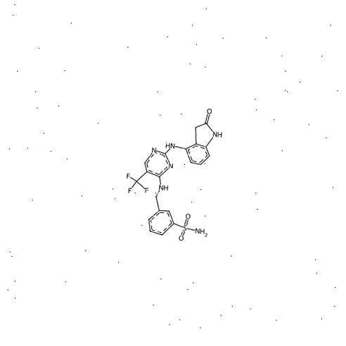 NS(=O)(=O)c1cccc(CNc2nc(Nc3cccc4c3CC(=O)N4)ncc2C(F)(F)F)c1